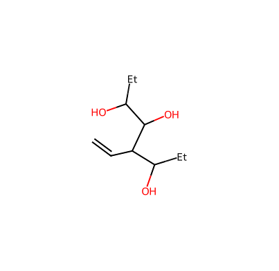 C=CC(C(O)CC)C(O)C(O)CC